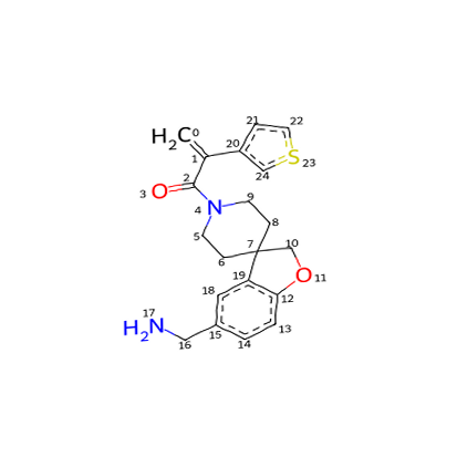 C=C(C(=O)N1CCC2(CC1)COc1ccc(CN)cc12)c1ccsc1